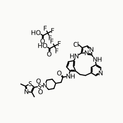 Cc1nc(C)c(S(=O)(=O)N2CCC(CC(=O)Nc3ccc4cc3CCc3cncc(c3)Nc3ncc(Cl)c(n3)N4)CC2)s1.O=C(O)C(F)(F)F.O=C(O)C(F)(F)F